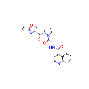 Cc1nc(C(=O)C2CCCN2C(=O)CNC(=O)c2ccnc3ccccc23)no1